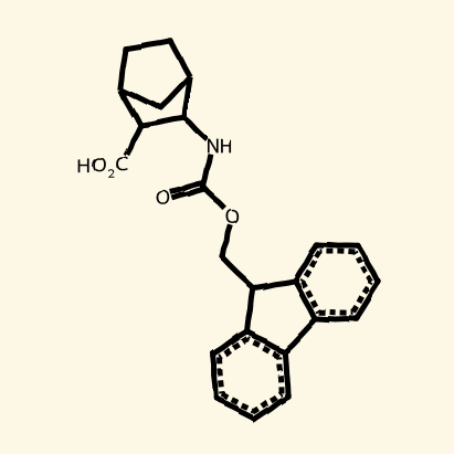 O=C(NC1C2CCC(C2)C1C(=O)O)OCC1c2ccccc2-c2ccccc21